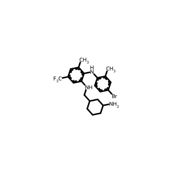 Cc1cc(Br)ccc1Nc1c(C)cc(C(F)(F)F)cc1NCC1CCCC(N)C1